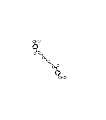 O=Cc1ccc(C(=O)OCCOCCOCCOC(=O)c2ccc(C=O)cc2)cc1